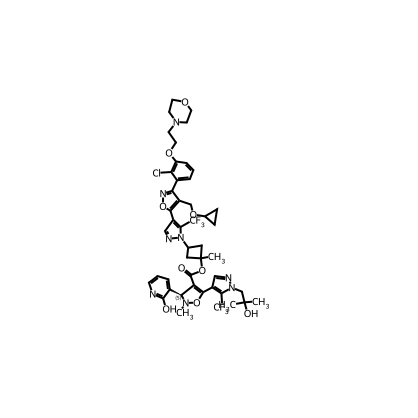 CN1OC(c2cnn(CC(C)(C)O)c2C(F)(F)F)=C(C(=O)OC2(C)CC(n3ncc(-c4onc(-c5cccc(OCCN6CCOCC6)c5Cl)c4COC4CC4)c3C(F)(F)F)C2)[C@@H]1c1cccnc1O